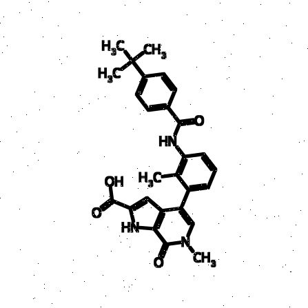 Cc1c(NC(=O)c2ccc(C(C)(C)C)cc2)cccc1-c1cn(C)c(=O)c2[nH]c(C(=O)O)cc12